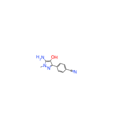 Cn1nc(-c2ccc(C#N)cc2)c(O)c1N